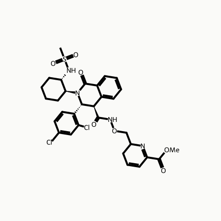 COC(=O)C1=NC(CONC(=O)[C@@H]2c3ccccc3C(=O)N([C@H]3CCCC[C@@H]3NS(C)(=O)=O)[C@H]2c2ccc(Cl)cc2Cl)CC=C1